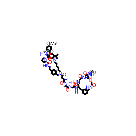 CCC(C)NC(=O)N1[C@@H]2CCN1C(=O)CNC(=O)[C@@H](NC(=O)CNC(=O)[C@H](C)NC(=O)CCC(=O)N(CCCCCCn1cc(C)c3cc(F)ccc31)Cc1ccc(CCNC(=O)[C@@H]3CCCN3C(=O)[C@H](Cc3ccc(OC)cc3)NC=O)cc1)Cc1cccc(c1)CNC(=O)CO2